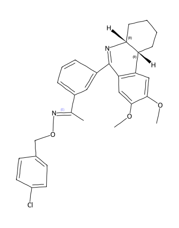 COc1cc2c(cc1OC)[C@H]1CCCC[C@H]1N=C2c1cccc(/C(C)=N/OCc2ccc(Cl)cc2)c1